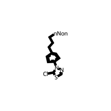 CCCCCCCCCCCCc1ccc(N2N=CS[C]2Cl)cc1